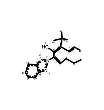 C/C=C/C(=C(O)\C(=C/CCC)n1nc2ccccc2n1)C(C)(C)C